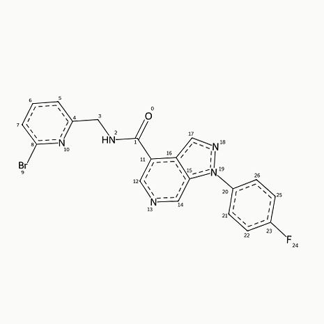 O=C(NCc1cccc(Br)n1)c1cncc2c1cnn2-c1ccc(F)cc1